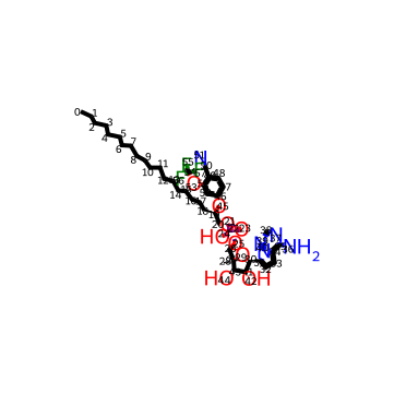 CCCCCCCCCCCCCCCCCCC[C@H](COP(=O)(O)OC[C@@]1(C)O[C@@H](c2ccc3c(N)ncnn23)[C@H](O)[C@@H]1O)Oc1ccc(C#N)c(OC(F)(F)F)c1